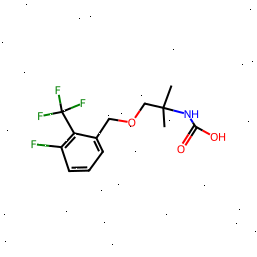 CC(C)(COCc1cccc(F)c1C(F)(F)F)NC(=O)O